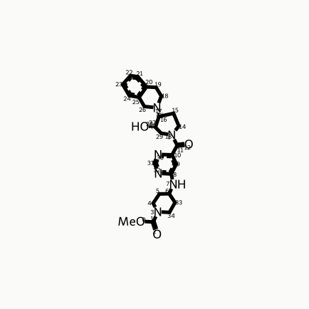 COC(=O)N1CCC(Nc2cc(C(=O)N3CC[C@@H](N4CCc5ccccc5C4)[C@H](O)C3)ncn2)CC1